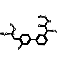 CCCCCNC(=O)N(C)c1cccc(-c2ccc(C[C@H](OCC)C(=O)O)c(F)c2)c1